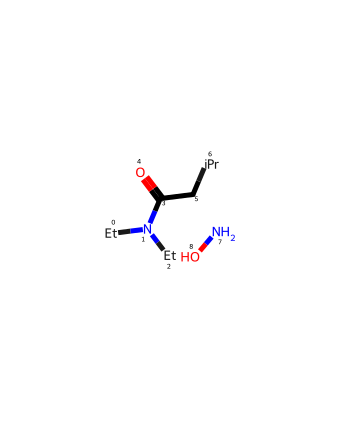 CCN(CC)C(=O)CC(C)C.NO